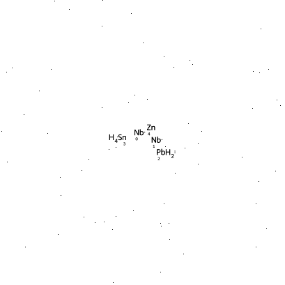 [Nb].[Nb].[PbH2].[SnH4].[Zn]